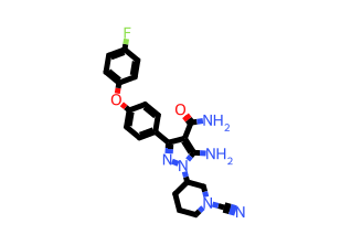 N#CN1CCCC(n2nc(-c3ccc(Oc4ccc(F)cc4)cc3)c(C(N)=O)c2N)C1